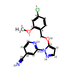 COc1cc(Cl)ccc1COc1ccnn1-c1cc(C#N)ccn1